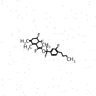 C=C1CC(F)C(F)C(/C(F)=C(\C)OC(F)(F)c2ccc(CCCC)c(F)c2)=C1C